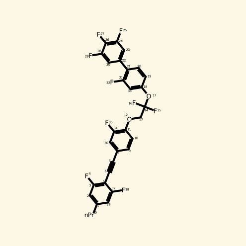 CCCc1cc(F)c(C#Cc2ccc(OCC(F)(F)Oc3ccc(-c4cc(F)c(F)c(F)c4)c(F)c3)c(F)c2)c(F)c1